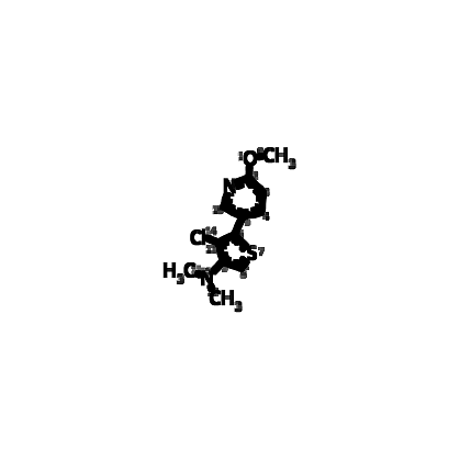 COc1ccc(-c2s[c]c(N(C)C)c2Cl)cn1